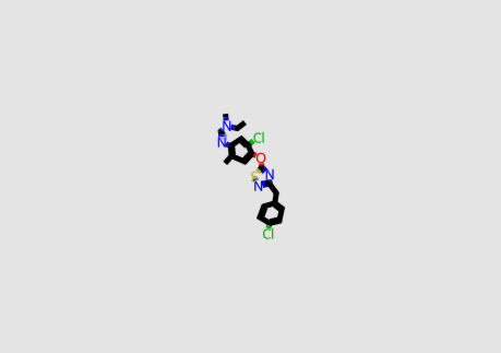 CCN(C)/C=N\c1cc(Cl)c(Oc2nc(Cc3ccc(Cl)cc3)ns2)cc1C